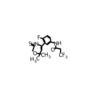 CC1(C)C=C(c2cc(NC(=O)CC(F)(F)F)ccc2F)NC(=S)CO1